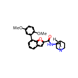 COc1ccc(OC)c(-c2cccc3cc(C(=O)N[C@H]4CN5CCC4CC5)oc23)c1